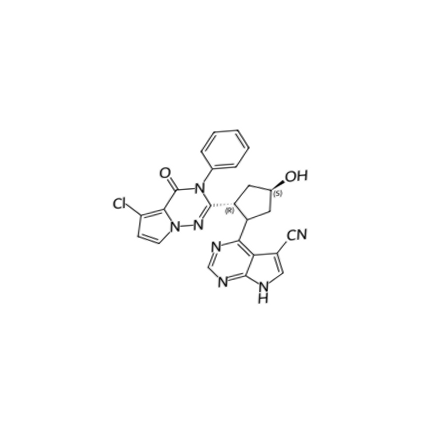 N#Cc1c[nH]c2ncnc(C3C[C@H](O)C[C@H]3c3nn4ccc(Cl)c4c(=O)n3-c3ccccc3)c12